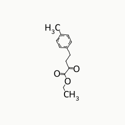 CCOC(=O)C(=O)CCc1ccc(C)cc1